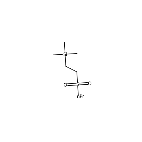 CCCS(=O)(=O)CC[Si](C)(C)C